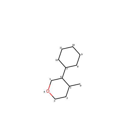 CC1CCOCC1C1CCCCC1